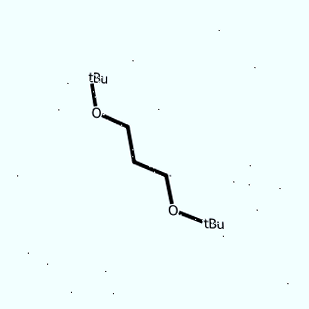 CC(C)(C)O[CH]CCOC(C)(C)C